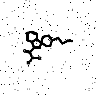 CCN(CC)C(=O)C1=CC2(CCN(CCC(C)(C)C)CC2)C2C=CC=CC12